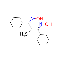 ON=C(C1CCCCC1)C([SiH3])C(=NO)C1CCCCC1